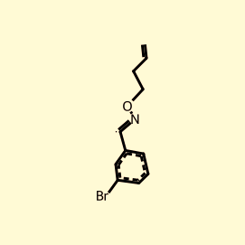 C=CCCON=[C]c1cccc(Br)c1